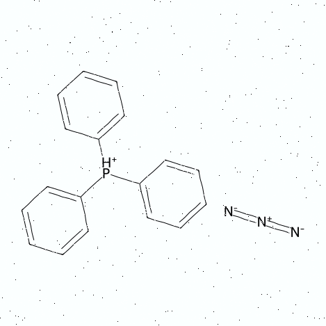 [N-]=[N+]=[N-].c1ccc([PH+](c2ccccc2)c2ccccc2)cc1